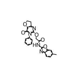 Cc1ccc2nc(NC(=O)COc3nc4c(c(=O)n3-c3ccccc3)OCC4)oc2c1